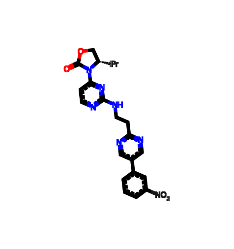 CC(C)[C@H]1COC(=O)N1c1ccnc(NCCc2ncc(-c3cccc([N+](=O)[O-])c3)cn2)n1